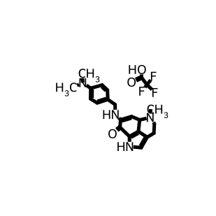 CN(C)c1ccc(CNC2=CC3c4c(c[nH]c4C2=O)CCN3C)cc1.O=C(O)C(F)(F)F